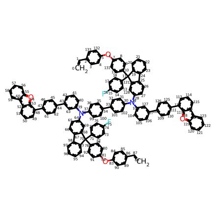 C=Cc1ccc(Oc2ccc(C3(c4ccc(F)cc4)c4ccccc4-c4ccc(N(c5ccc(-c6ccc(N(c7cccc(-c8ccc(-c9cccc%10c9oc9ccccc9%10)cc8)c7)c7ccc8c(c7)C(c7ccc(F)cc7)(c7ccc(Oc9ccc(C=C)cc9)cc7)c7ccccc7-8)cc6)cc5)c5cccc(-c6ccc(-c7cccc8c7oc7ccccc78)cc6)c5)cc43)cc2)cc1